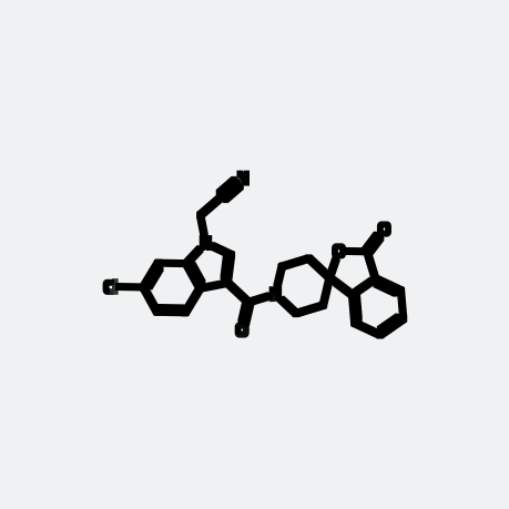 N#CCn1cc(C(=O)N2CCC3(CC2)OC(=O)c2ccccc23)c2ccc(Cl)cc21